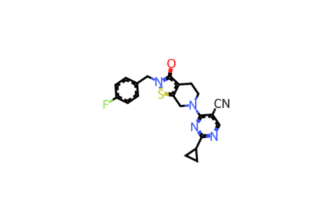 N#Cc1cnc(C2CC2)nc1N1CCc2c(sn(Cc3ccc(F)cc3)c2=O)C1